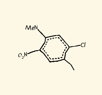 CNc1cc(Cl)c(C)cc1[N+](=O)[O-]